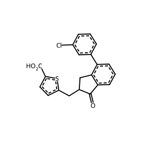 O=C(O)c1ccc(CC2Cc3c(cccc3-c3cccc(Cl)c3)C2=O)s1